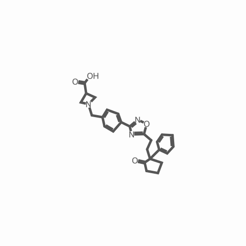 O=C(O)C1CN(Cc2ccc(-c3noc(CCC4(c5ccccc5)CCCC4=O)n3)cc2)C1